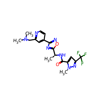 C[C@H](NC(=O)c1cc(C(F)(F)F)nn1C)c1nc(-c2ccnc(CN(C)C)c2)no1